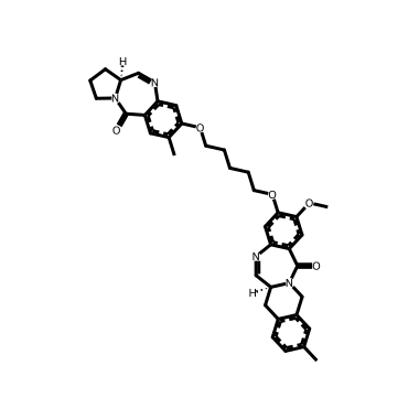 COc1cc2c(cc1OCCCCCOc1cc3c(cc1C)C(=O)N1CCC[C@H]1C=N3)N=C[C@@H]1Cc3ccc(C)cc3CN1C2=O